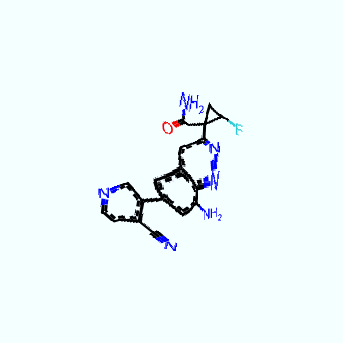 N#Cc1ccncc1-c1cc(N)c2nnc(C3(C(N)=O)CC3F)cc2c1